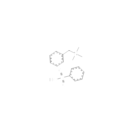 C[N+](C)(C)Cc1ccccc1.O=S(=O)(O)c1ccccc1